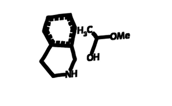 COC(C)O.c1ccc2c(c1)CCNC2